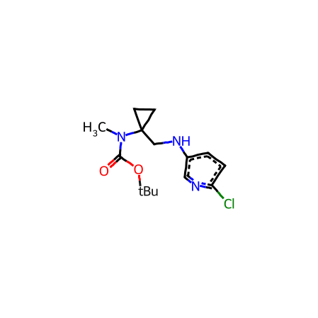 CN(C(=O)OC(C)(C)C)C1(CNc2ccc(Cl)nc2)CC1